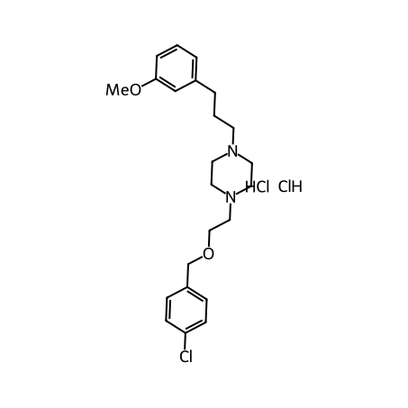 COc1cccc(CCCN2CCN(CCOCc3ccc(Cl)cc3)CC2)c1.Cl.Cl